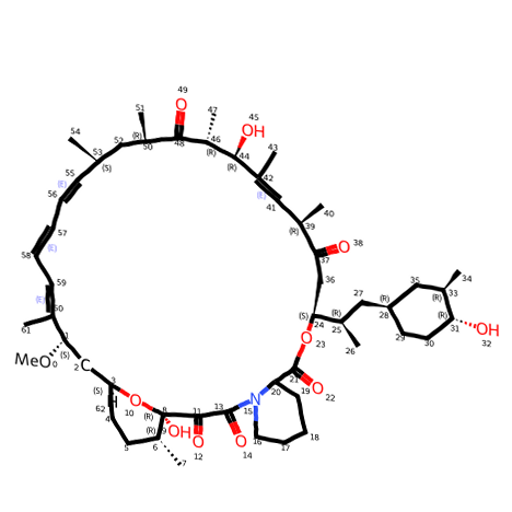 CO[C@H]1C[C@@H]2CC[C@@H](C)[C@@](O)(O2)C(=O)C(=O)N2CCCCC2C(=O)O[C@H]([C@H](C)C[C@@H]2CC[C@@H](O)[C@H](C)C2)CC(=O)[C@H](C)/C=C(\C)[C@H](O)[C@@H](C)C(=O)[C@H](C)C[C@H](C)/C=C/C=C/C=C/1C